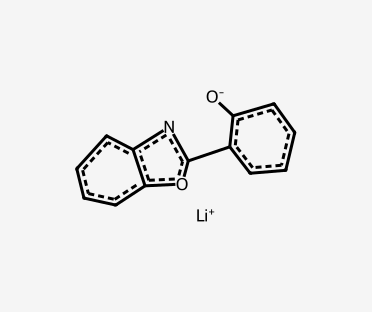 [Li+].[O-]c1ccccc1-c1nc2ccccc2o1